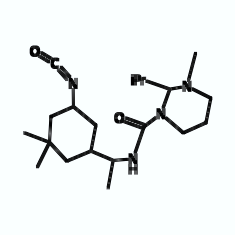 CC(C)C1N(C)CCCN1C(=O)NC(C)C1CC(N=C=O)CC(C)(C)C1